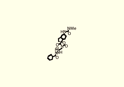 CNC(=O)Nc1ccc2c(c1)CC[C@]21OC(=O)N(CC(=O)NNC(=O)C2C=CC=CC2)C1=O